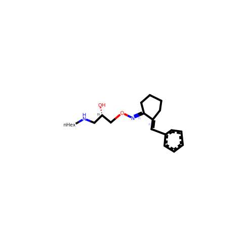 CCCCCCNC[C@H](O)CO/N=C1\CCCC\C1=C/c1ccccc1